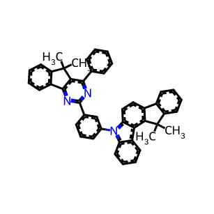 CC1(C)c2ccccc2-c2nc(-c3cccc(-n4c5ccccc5c5c6c(ccc54)-c4ccccc4C6(C)C)c3)nc(-c3ccccc3)c21